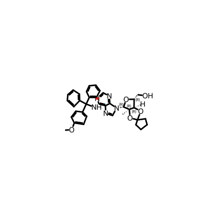 COc1ccc(C(Nc2ncnc3c2ncn3[C@@H]2O[C@H](CO)[C@H]3OC4(CCCC4)O[C@]32C)(c2ccccc2)c2ccccc2)cc1